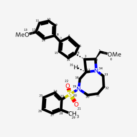 COC[C@@H]1[C@@H](c2ccc(-c3cccc(OC)c3)cc2)[C@@H]2CN(S(=O)(=O)c3ccccc3C)CCCCN12